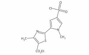 CCOC(=O)c1sc(-c2cc(S(=O)(=O)Cl)cn2C)nc1C